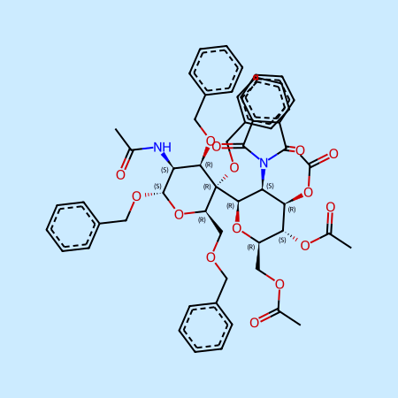 CC(=O)N[C@@H]1[C@@H](OCc2ccccc2)O[C@H](COCc2ccccc2)[C@](OCc2ccccc2)([C@@H]2O[C@H](COC(C)=O)[C@@H](OC(C)=O)[C@H](OC(C)=O)[C@@H]2N2C(=O)c3ccccc3C2=O)[C@@H]1OCc1ccccc1